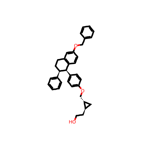 OCC[C@@H]1C[C@H]1COc1ccc([C@@H]2c3ccc(OCc4ccccc4)cc3CC[C@@H]2c2ccccc2)cc1